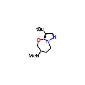 CN[C@@H]1CCn2ncc(C(C)(C)C)c2OC1